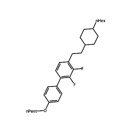 CCCCCCC1CCC(CCc2ccc(-c3ccc(OCCCCC)cc3)c(F)c2F)CC1